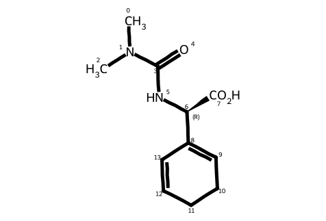 CN(C)C(=O)N[C@@H](C(=O)O)C1=CCCC=C1